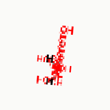 C[C@H](CCC(=O)OCC(COC(=O)CC[C@@H](C)[C@H]1CCC2C3C(C[C@H](O)[C@@]21C)[C@@]1(C)CC[C@@H](O)C[C@H]1C[C@H]3O)OC(CO)OCCOCCOCCOCCOCCOCCOCCOCCOCCOCCOCCO)[C@H]1CCC2C3C(C[C@H](O)[C@@]21C)[C@@]1(C)CC[C@@H](O)C[C@H]1C[C@H]3O